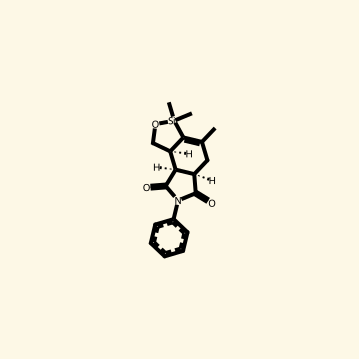 CC1=C2[C@H](CO[Si]2(C)C)[C@@H]2C(=O)N(c3ccccc3)C(=O)[C@@H]2C1